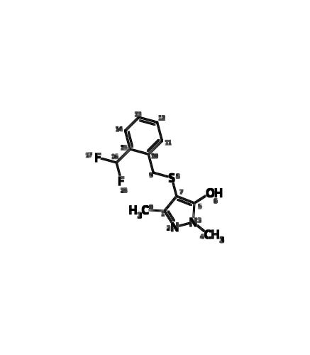 Cc1nn(C)c(O)c1SCc1ccccc1C(F)F